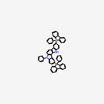 c1ccc(-n2c3ccc([Si]4(c5ccccc5)c5ccccc5-c5ccccc54)cc3c3c4[nH]c5ccc([Si]6(c7ccccc7)c7ccccc7-c7ccccc76)cc5c4ccc32)cc1